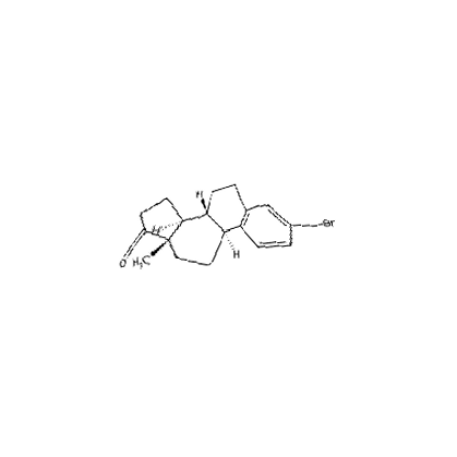 C[C@]12CC[C@@H]3c4ccc(Br)cc4CC[C@H]3[C@@H]1CCC2=O